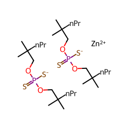 CCCC(C)(C)COP(=S)([S-])OCC(C)(C)CCC.CCCC(C)(C)COP(=S)([S-])OCC(C)(C)CCC.[Zn+2]